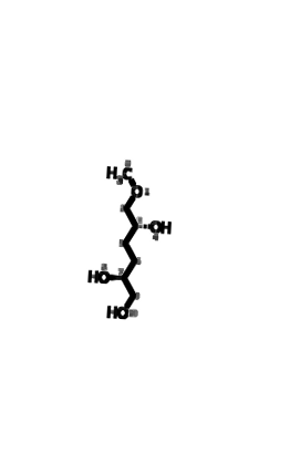 COC[C@H](O)CC[C@H](O)CO